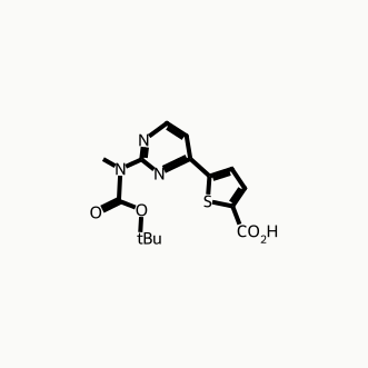 CN(C(=O)OC(C)(C)C)c1nccc(-c2ccc(C(=O)O)s2)n1